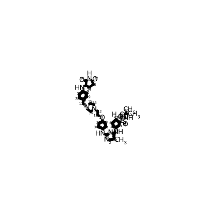 Cc1cnc(Nc2ccc(OCCN3CCN(Cc4ccc(NC5CCC(=O)NC5=O)cc4)CC3)cc2)nc1Nc1cccc(S(=O)(=O)NC(C)(C)C)c1